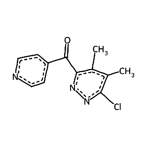 Cc1c(Cl)nnc(C(=O)c2ccncc2)c1C